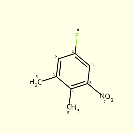 Cc1cc(F)cc([N+](=O)[O-])c1C